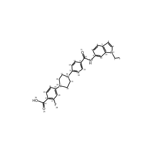 CCn1ccc2ccc(NC(=O)c3ccc(N4CCN(c5ccc(C(=O)O)c(F)c5)CC4)nc3)cc21